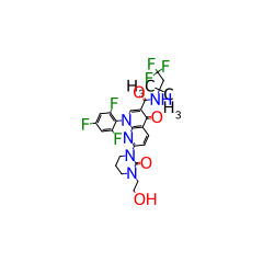 CC(C)(CC(F)(F)F)NC(=O)c1cn(-c2c(F)cc(F)cc2F)c2nc(N3CCCN(CCO)C3=O)ccc2c1=O